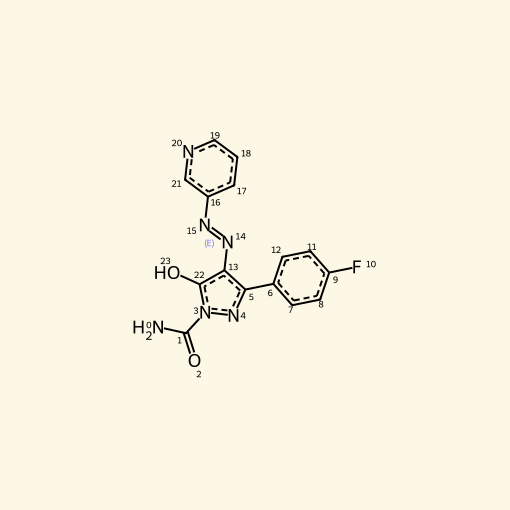 NC(=O)n1nc(-c2ccc(F)cc2)c(/N=N/c2cccnc2)c1O